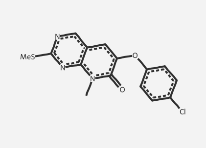 CSc1ncc2cc(Oc3ccc(Cl)cc3)c(=O)n(C)c2n1